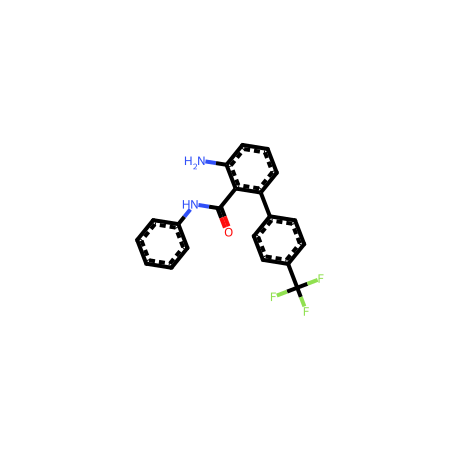 Nc1cccc(-c2ccc(C(F)(F)F)cc2)c1C(=O)Nc1ccccc1